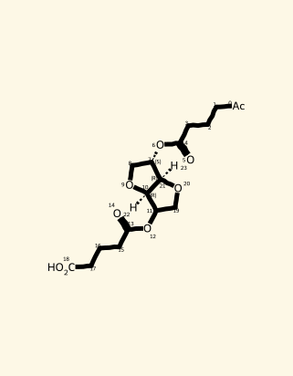 CC(=O)CCCC(=O)O[C@H]1CO[C@@H]2C(OC(=O)CCCC(=O)O)CO[C@H]12